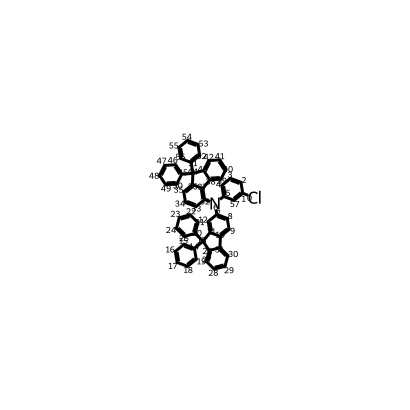 Clc1cccc(N(c2ccc3c(c2)C(c2ccccc2)(c2ccccc2)c2ccccc2-3)c2cccc3c2-c2ccccc2C3(c2ccccc2)c2ccccc2)c1